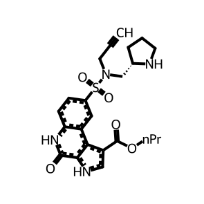 C#CCN(C[C@@H]1CCCN1)S(=O)(=O)c1ccc2[nH]c(=O)c3[nH]cc(C(=O)OCCC)c3c2c1